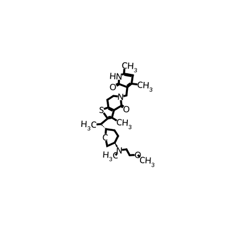 COCCN(C)[C@H]1CC[C@H](C(C)c2sc3c(c2C)C(=O)N(Cc2c(C)cc(C)[nH]c2=O)CC3)CC1